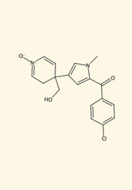 Cn1cc(C2(CO)C=C[N+]([O-])=CC2)cc1C(=O)c1ccc(Cl)cc1